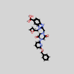 O=C(O)c1ccc2nc(CN3CC(=O)N(c4cccc(OCc5ccccc5)n4)CC3=O)n(CC3CCO3)c2c1